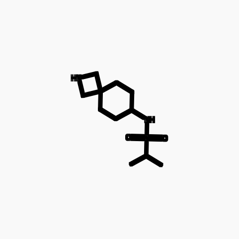 CC(C)S(=O)(=O)NC1CCC2(CC1)CNC2